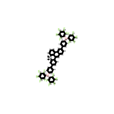 C[Si]1(C)c2cc(-c3ccc(B(c4c(F)c(F)c(F)c(F)c4F)c4c(F)c(F)c(F)c(F)c4F)cc3)ccc2-c2cc3ccc(-c4ccc(B(c5c(F)c(F)c(F)c(F)c5F)c5c(F)c(F)c(F)c(F)c5F)cc4)cc3c3cccc1c23